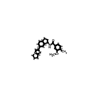 COc1cc(C(=O)N[C@@H]2CCc3ccc(-c4cn5c(n4)CCC5)cc32)ccc1C